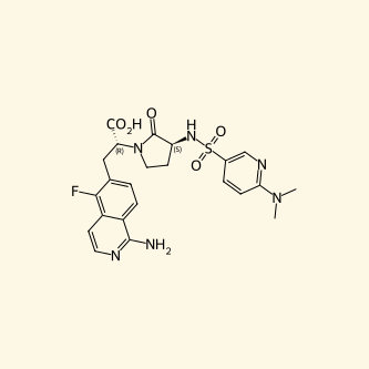 CN(C)c1ccc(S(=O)(=O)N[C@H]2CCN([C@H](Cc3ccc4c(N)nccc4c3F)C(=O)O)C2=O)cn1